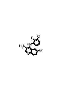 Nc1cnc2ccc(Br)cc2c1Nc1cccc(Cl)c1F